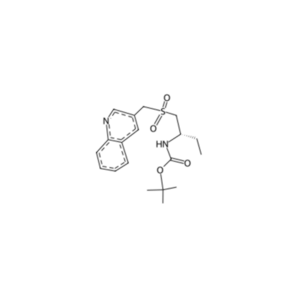 CC[C@@H](CS(=O)(=O)Cc1cnc2ccccc2c1)NC(=O)OC(C)(C)C